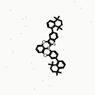 CC1(C)CCC(C)(C)c2c(-c3ccc4c(c3)Oc3cccc5c3B4c3sc4ccc(-c6cccc7c6C(C)(C)CCC7(C)C)cc4c3O5)cccc21